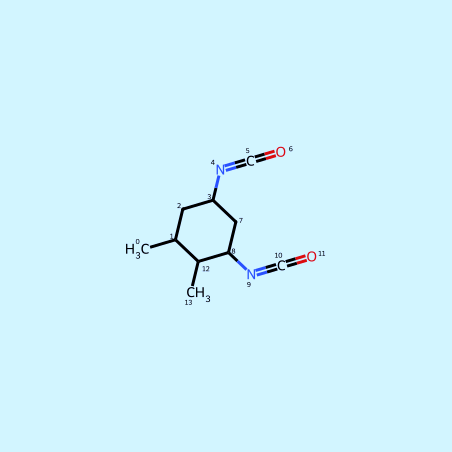 CC1CC(N=C=O)CC(N=C=O)C1C